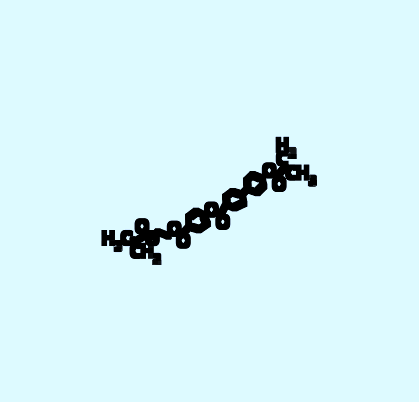 C=C(C)C(=O)OCCOC(=O)c1ccc(OC(=O)c2ccc(-c3ccc(OC(=O)C(=C)C)cc3)cc2)cc1